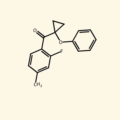 Cc1ccc(C(=O)C2(Oc3ccccc3)CC2)c(F)c1